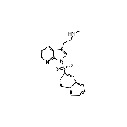 CNCCc1cn(S(=O)(=O)c2ccc3ccccc3c2)c2ncccc12